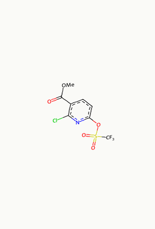 COC(=O)c1ccc(OS(=O)(=O)C(F)(F)F)nc1Cl